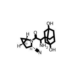 N#C[C@@H]1C[C@@H]2C[C@@H]2N1C(=O)C(N)C12CC3CC(O)(CC(O)(C3)C1)C2